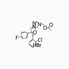 Br.CC(=O)OCN1C=NN(CC2(c3ccc(F)cc3)OC2c2ccccc2Cl)C1